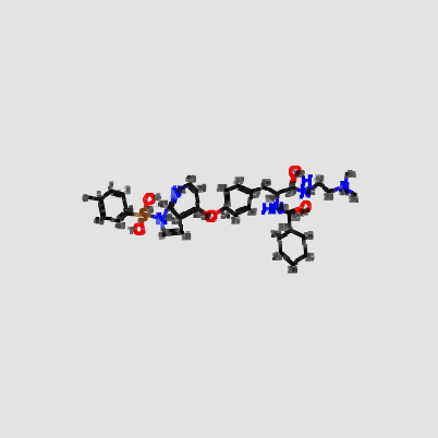 Cc1ccc(S(=O)(=O)n2ccc3c(Oc4ccc(CC(NC(=O)C5CCCCC5)C(=O)NCCN(C)C)cc4)ccnc32)cc1